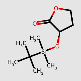 CC(C)(C)[Si](C)(C)O[C@@H]1CCOC1=O